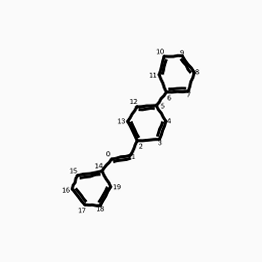 C(=Cc1ccc(-c2ccccc2)cc1)c1ccccc1